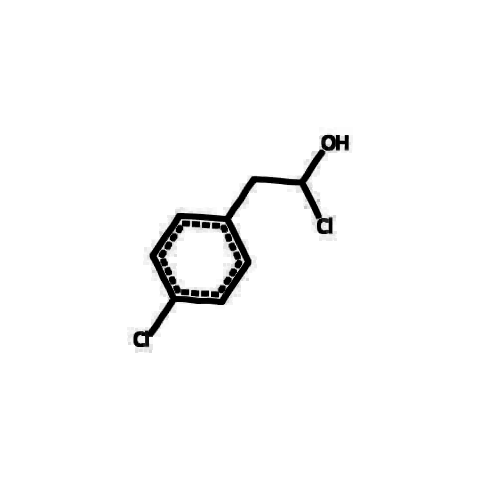 OC(Cl)Cc1ccc(Cl)cc1